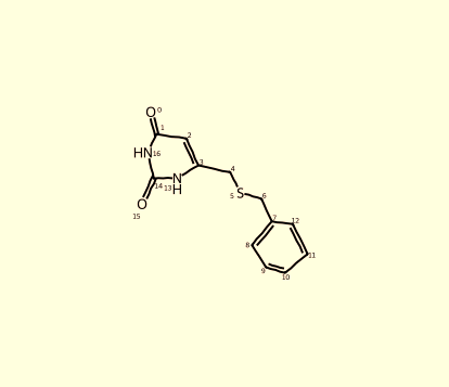 O=c1cc(CSCc2ccccc2)[nH]c(=O)[nH]1